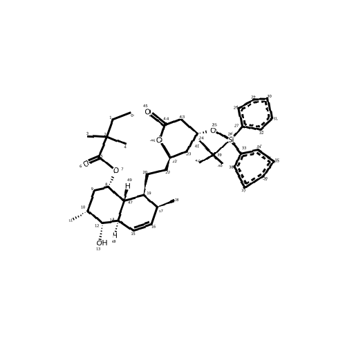 CCC(C)(C)C(=O)O[C@H]1C[C@@H](C)[C@@H](O)[C@@H]2C=C[C@H](C)[C@H](CC[C@@H]3C[C@@H](O[Si](c4ccccc4)(c4ccccc4)C(C)(C)C)CC(=O)O3)[C@H]21